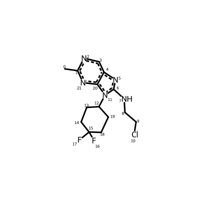 Cc1ncc2nc(NCCCl)n(C3CCC(F)(F)CC3)c2n1